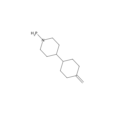 C=C1CCC(C2CCN(P)CC2)CC1